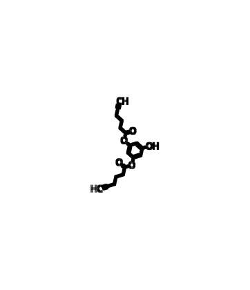 C#CCCCC(=O)Oc1cc(O)cc(OC(=O)CCCC#C)c1